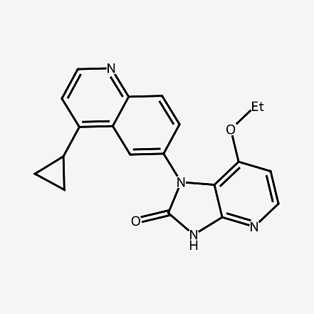 CCOc1ccnc2[nH]c(=O)n(-c3ccc4nccc(C5CC5)c4c3)c12